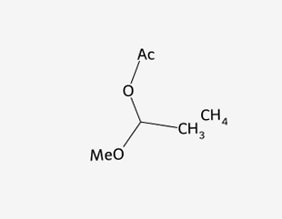 C.COC(C)OC(C)=O